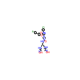 C/C(=N\O)C(C)(C)NCCC(CCNC(=O)N1CCN(c2cnn(-c3ccc(Cl)cc3)c(=O)c2Oc2ccc(-c3ccc(F)cc3)cc2)CC1)CCNC(C)(C)/C(C)=N/O